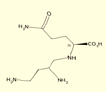 NCCC(N)CN[C@@H](CCC(N)=O)C(=O)O